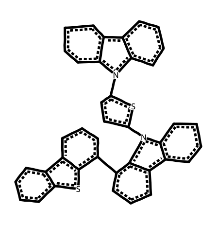 c1ccc2c(c1)sc1c(-c3cccc4c5ccccc5n(-c5ccc(-n6c7ccccc7c7ccccc76)s5)c34)cccc12